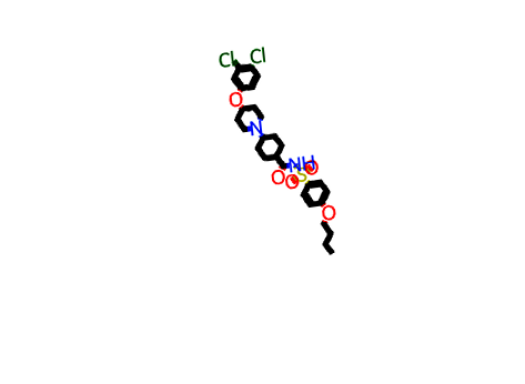 CCCCOc1ccc(S(=O)(=O)NC(=O)C2CCC(N3CCC(Oc4ccc(Cl)c(Cl)c4)CC3)CC2)cc1